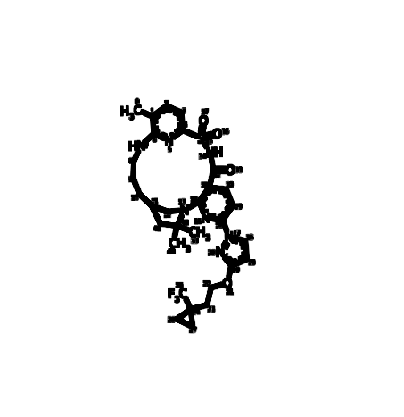 Cc1ccc2nc1NCCCC1CN(c3nc(-n4ccc(OCCC5(C(F)(F)F)CC5)n4)ccc3C(=O)NS2(=O)=O)C(C)(C)C1